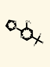 Cc1cc(C(F)(F)F)cnc1-n1cccn1